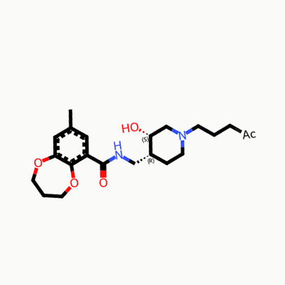 CC(=O)CCCN1CC[C@H](CNC(=O)c2cc(C)cc3c2OCCCO3)[C@H](O)C1